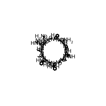 CCCC[C@H]1C(=O)N(C)[C@@H](CCCC)C(=O)N[C@@H](CCCNC(=N)N)C(=O)N[C@H](CNCC(N)=O)CSCC(=O)N[C@@H](Cc2ccccc2)C(=O)N(C)[C@@H](C)C(=O)N[C@@H](CC(N)=O)C(=O)N2CCC[C@H]2C(=O)N[C@@H](Cc2c[nH]cn2)C(=O)N[C@@H](CC(C)C)C(=O)N(C)CC(=O)N[C@@H](Cc2c[nH]c3ccccc23)C(=O)N[C@@H](CO)C(=O)N[C@@H](Cc2c[nH]c3ccccc23)C(=O)N1C